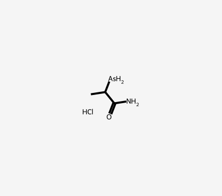 CC([AsH2])C(N)=O.Cl